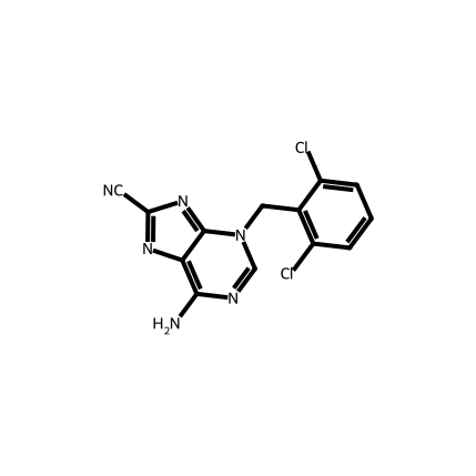 N#Cc1nc2c(N)ncn(Cc3c(Cl)cccc3Cl)c-2n1